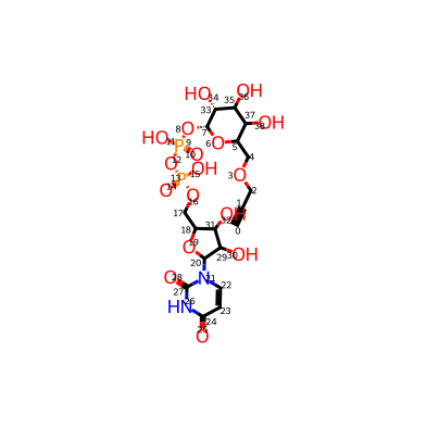 C#CCOCC1O[C@H](OP(=O)(O)OP(=O)(O)OCC2OC(n3ccc(=O)[nH]c3=O)C(O)C2O)[C@H](O)C(O)C1O